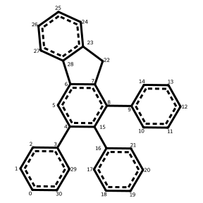 c1ccc(-c2cc3c(c(-c4ccccc4)c2-c2ccccc2)Cc2ccccc2-3)cc1